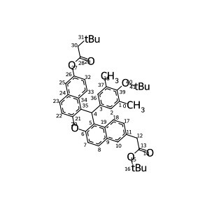 Cc1cc(C2c3c(ccc4cc(CC(=O)OC(C)(C)C)ccc34)Oc3ccc4cc(OC(=O)CC(C)(C)C)ccc4c32)cc(C)c1OC(C)(C)C